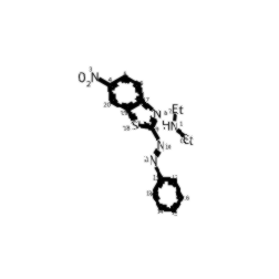 CCNCC.O=[N+]([O-])c1ccc2nc(N=Nc3ccccc3)sc2c1